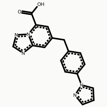 O=C(O)c1cc(Cc2ccc(-n3cccn3)cc2)cc2ncnn12